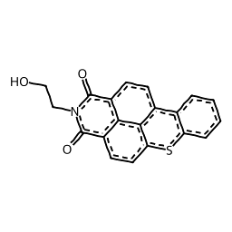 O=c1c2ccc3sc4ccccc4c4ccc(c(=O)n1CCO)c2c34